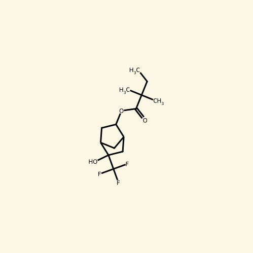 CCC(C)(C)C(=O)OC1CC2CC1CC2(O)C(F)(F)F